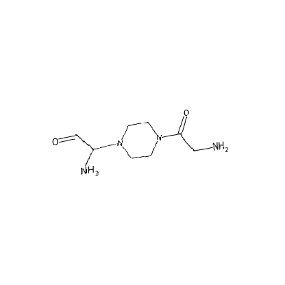 NCC(=O)N1CCN(C(N)C=O)CC1